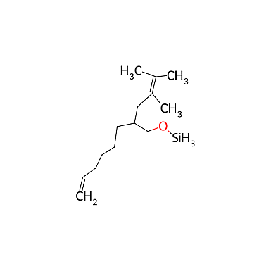 C=CCCCCC(CO[SiH3])CC(C)=C(C)C